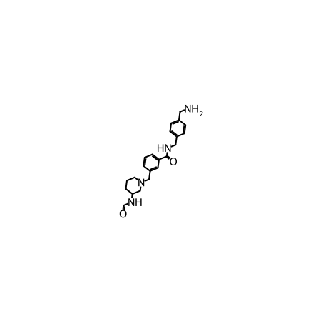 NCc1ccc(CNC(=O)c2cccc(CN3CCCC(NC=O)C3)c2)cc1